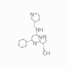 C#Cc1cnn2c(NCc3cccnc3)cc(-c3ccccc3)nc12